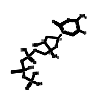 C[C@]1(COP(=O)(O)OP(=O)(O)OP(=O)(O)O)O[C@@H](n2cc(F)c(N)nc2=O)C[C@@H]1O